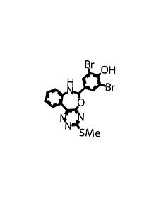 CSc1nnc2c(n1)OC(c1cc(Br)c(O)c(Br)c1)Nc1ccccc1-2